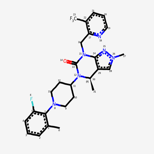 Cc1cccc(F)c1N1CCC(N2C(=O)N(Cc3ncccc3C(F)(F)F)c3nn(C)cc3[C@H]2C)CC1